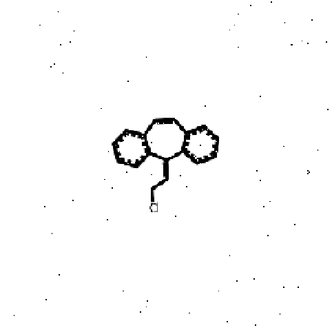 ClCC=C1c2ccccc2C=Cc2ccccc21